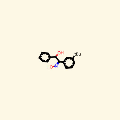 CC(C)(C)c1cccc(C(=NO)C(O)c2ccccc2)c1